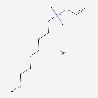 C=CC[N+](C)(C)CCCCCCCCC.[Br-]